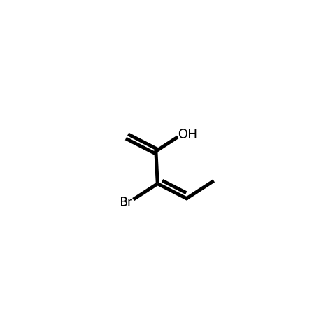 C=C(O)/C(Br)=C\C